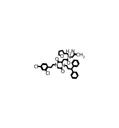 C=C(N)CN(CC1CCCO1)C(=O)CC1C(=O)N(CCc2ccc(Cl)cc2Cl)CC(=O)N1CCC(c1ccccc1)c1ccccc1